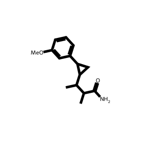 COc1cccc(C2CC2C(C)C(C)C(N)=O)c1